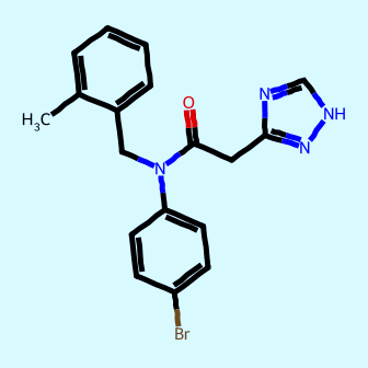 Cc1ccccc1CN(C(=O)Cc1nc[nH]n1)c1ccc(Br)cc1